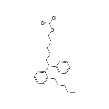 CCCCCc1ccccc1C(CCCCCOC(=O)O)c1ccccc1